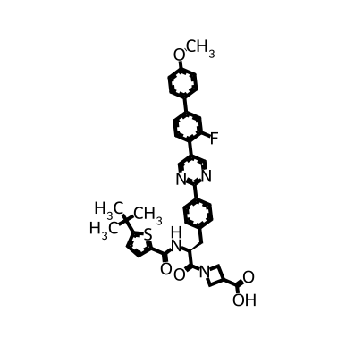 COc1ccc(-c2ccc(-c3cnc(-c4ccc(C[C@H](NC(=O)c5ccc(C(C)(C)C)s5)C(=O)N5CC(C(=O)O)C5)cc4)nc3)c(F)c2)cc1